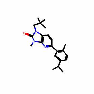 Cc1ccc(C(C)C)cc1-c1ccc2c(n1)n(C)c(=O)n2CC(C)(C)C